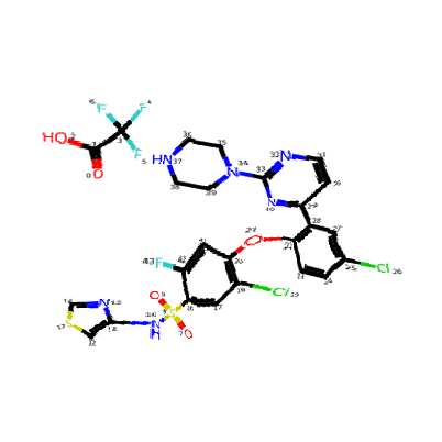 O=C(O)C(F)(F)F.O=S(=O)(Nc1cscn1)c1cc(Cl)c(Oc2ccc(Cl)cc2-c2ccnc(N3CCNCC3)n2)cc1F